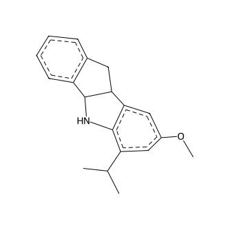 COc1cc(C(C)C)c2c(c1)C1Cc3ccccc3C1N2